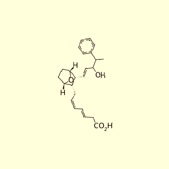 CC(c1ccccc1)C(O)/C=C/[C@@H]1[C@H](C/C=C\C=CCC(=O)O)[C@@H]2CC[C@H]1O2